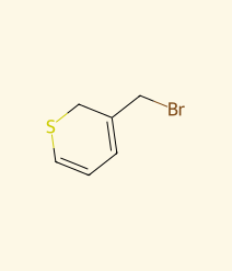 BrCC1=CC=CSC1